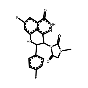 CN1CC(=O)N(C2c3n[nH]c(=O)c4cc(F)cc(c34)NC2c2ccc(F)cc2)C1=O